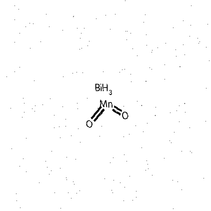 [BiH3].[O]=[Mn]=[O]